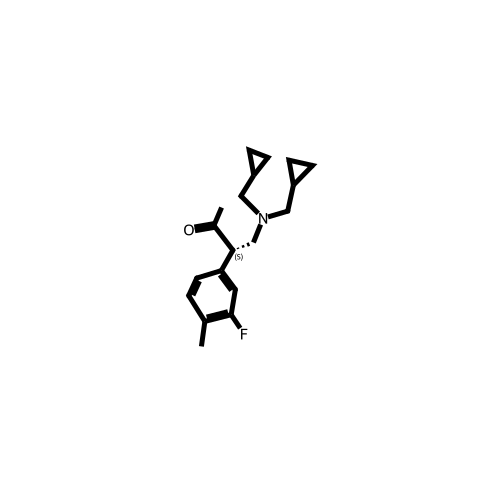 CC(=O)[C@H](CN(CC1CC1)CC1CC1)c1ccc(C)c(F)c1